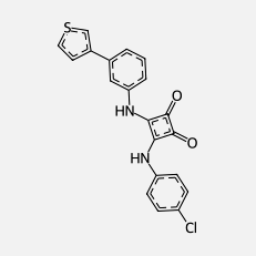 O=c1c(Nc2ccc(Cl)cc2)c(Nc2cccc(-c3ccsc3)c2)c1=O